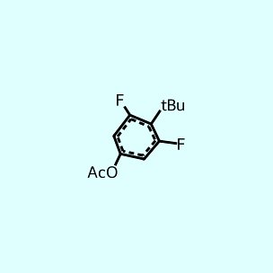 CC(=O)Oc1cc(F)c(C(C)(C)C)c(F)c1